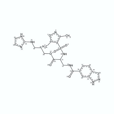 Cc1noc(C)c1S(=O)(=O)NC(CNC(=O)c1ccc2cn[nH]c2c1)C(=O)OCCCNc1ncc[nH]1